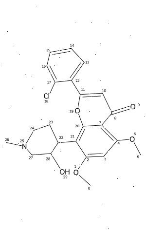 COc1cc(OC)c2c(=O)cc(-c3ccccc3Cl)oc2c1C1CCN(C)CC1O